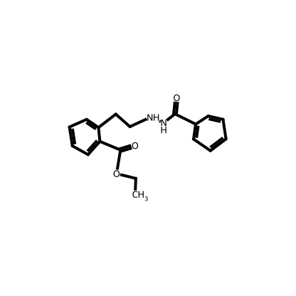 CCOC(=O)c1ccccc1CCNNC(=O)c1ccccc1